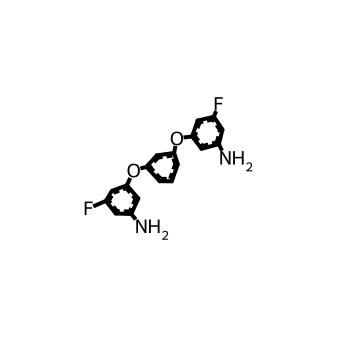 Nc1cc(F)cc(Oc2cccc(Oc3cc(N)cc(F)c3)c2)c1